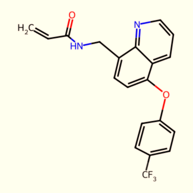 C=CC(=O)NCc1ccc(Oc2ccc(C(F)(F)F)cc2)c2cccnc12